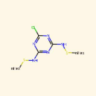 CCCCCCSNc1nc(Cl)nc(NSCCCCCC)n1